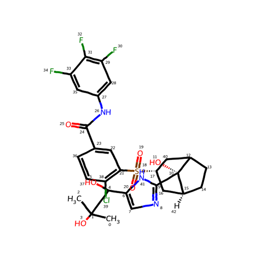 CC(C)(O)C(O)c1cnc([C@@]2(O)C3CC[C@H]2C[C@H](S(=O)(=O)c2cc(C(=O)Nc4cc(F)c(F)c(F)c4)ccc2Cl)C3)[nH]1